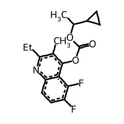 CCc1nc2ccc(F)c(F)c2c(OC(=O)OC(C)C2CC2)c1C